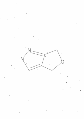 C1=C2COCC2=N[N]1